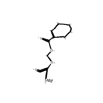 CSC(=O)OCOC(=O)C1CCCCC1